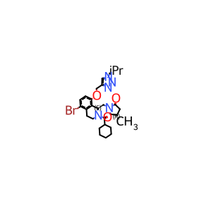 CC(C)n1cc(COc2ccc(Br)c3c2[C@@H](CN2C[C@H](C)CC2=O)N(C(=O)C2CCCCC2)CC3)nn1